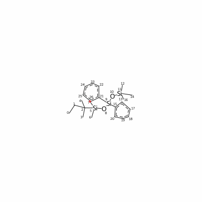 CCC(C)(C)[Si](C)(C)O[Si](O[Si](C)(C)C)(c1ccccc1)c1ccccc1